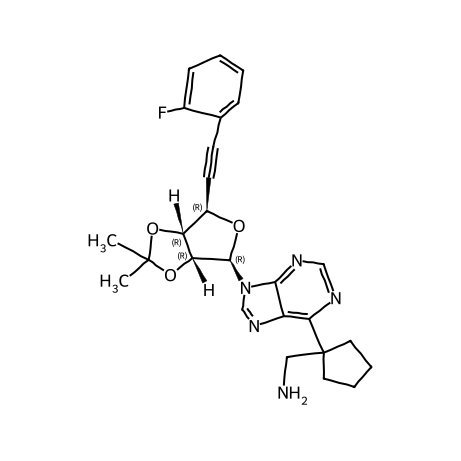 CC1(C)O[C@@H]2[C@H](O1)[C@@H](C#Cc1ccccc1F)O[C@H]2n1cnc2c(C3(CN)CCCC3)ncnc21